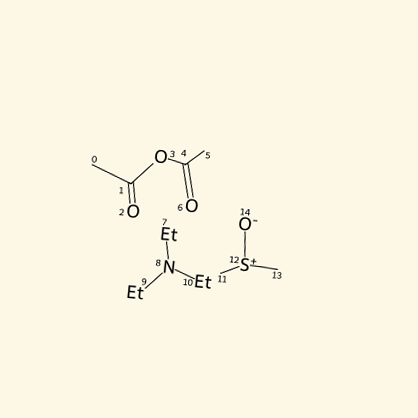 CC(=O)OC(C)=O.CCN(CC)CC.C[S+](C)[O-]